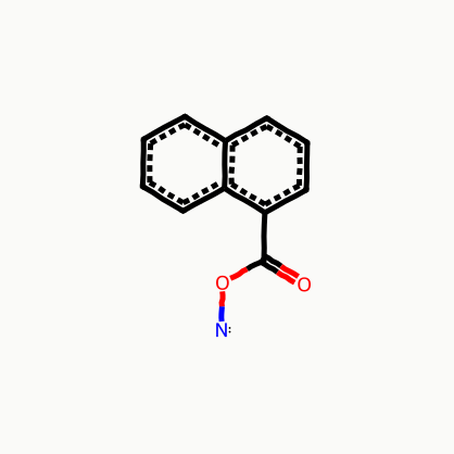 [N]OC(=O)c1cccc2ccccc12